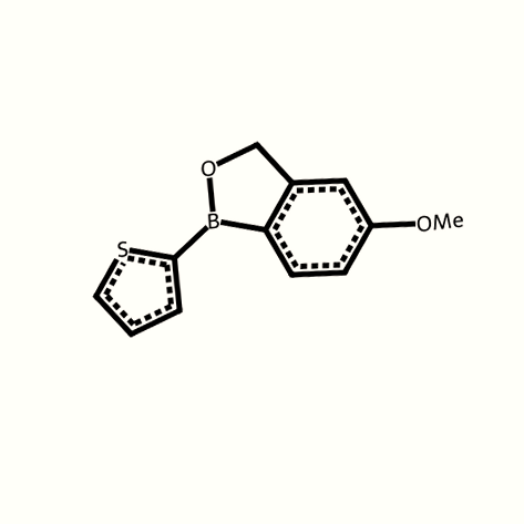 COc1ccc2c(c1)COB2c1cccs1